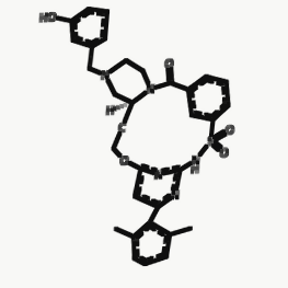 Cc1cccc(C)c1-c1cc2nc(n1)NS(=O)(=O)c1cccc(c1)C(=O)N1CCN(Cc3cccc(O)c3)C[C@@H]1CCO2